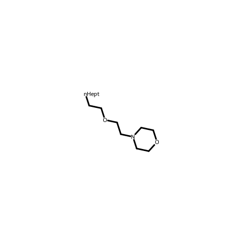 CCCCCCCCCOCCN1CCOCC1